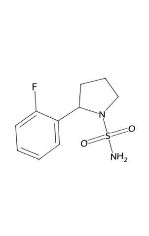 NS(=O)(=O)N1CCCC1c1ccccc1F